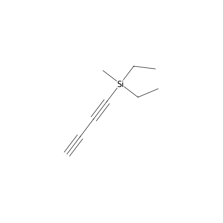 C#CC#C[Si](C)(CC)CC